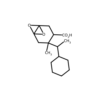 CC(C1CCCCC1)C1(C)CC23OC2(CC1C(=O)O)O3